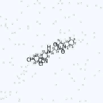 Cc1cn(Cc2ccccc2)c(=O)n(CCCN[C@H]2CC[C@](C#N)(c3ccc(Cl)cc3Cl)CC2)c1=O